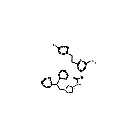 Cc1cc(NC(=O)N[C@H]2CCN(CC(c3ccccc3)c3ccccc3)C2)cc(CCc2ccc(F)cc2)n1